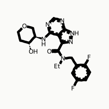 CCN(Cc1cc(F)ccc1F)C(=O)c1n[nH]c2ncnc(N[C@@H]3COCC[C@H]3O)c12